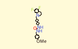 COc1ccc(CNC(=O)NC2CC3(CC(CN4CCCc5c(F)cc(F)cc54)C3)C2)cc1